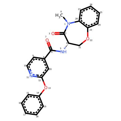 CN1C(=O)[C@@H](NC(=O)c2ccnc(Oc3ccccc3)c2)COc2ccccc21